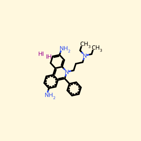 CCN(CC)CCCN1C2=CC(N)=CCC2=c2ccc(N)cc2=C1c1ccccc1.I.I